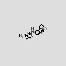 Nc1nc(Nc2ccc(F)c(N3CCCS3(=O)=O)c2)ncc1F